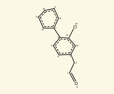 O=CCc1ccc(-c2ccccc2)c(Cl)c1